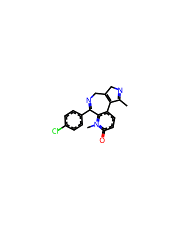 CC1=NCC2=C1c1ccc(=O)n(C)c1C(c1ccc(Cl)cc1)=NC2